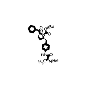 CN[C@H](C)C(=O)Nc1ccc(C[C@@H]2CC[C@H]([C@H](O)c3ccccc3)N2C(=O)OC(C)(C)C)cc1